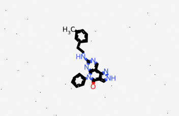 Cc1cccc(CCNc2ncc3c4n[nH]cc4c(=O)n(-c4ccccc4)c3n2)c1